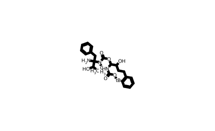 CC(O)C(N)(Cc1ccccc1)N(C)C(=O)OC(NC(=O)OC(C)(C)C)C(O)CCc1ccccc1